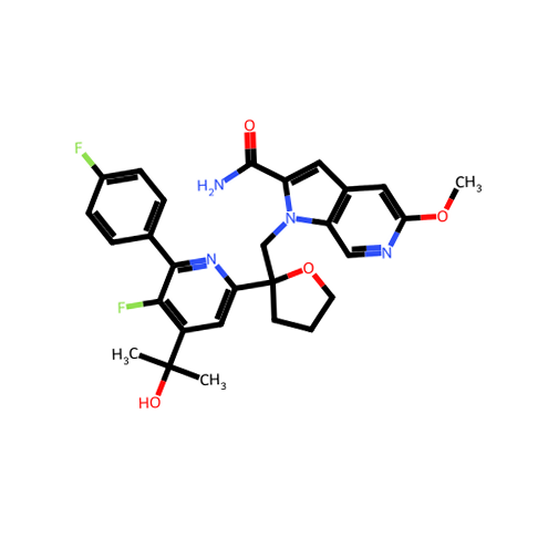 COc1cc2cc(C(N)=O)n(CC3(c4cc(C(C)(C)O)c(F)c(-c5ccc(F)cc5)n4)CCCO3)c2cn1